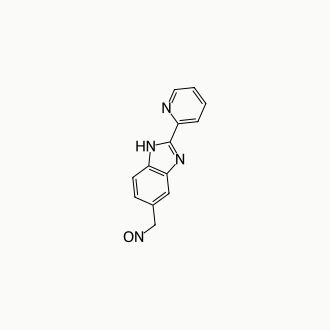 O=NCc1ccc2[nH]c(-c3ccccn3)nc2c1